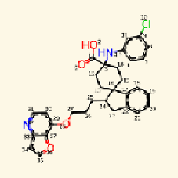 O=C(O)C1(Nc2cccc(Cl)c2)CCC2(CC1)c1ccccc1CC2CCCOc1ccnc2ccoc12